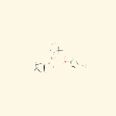 [CH2]C1CCC([CH2])(OOC(=O)c2ccc(CCCC)cc2)C(OOC(=O)c2ccc(CCCC)cc2)C1